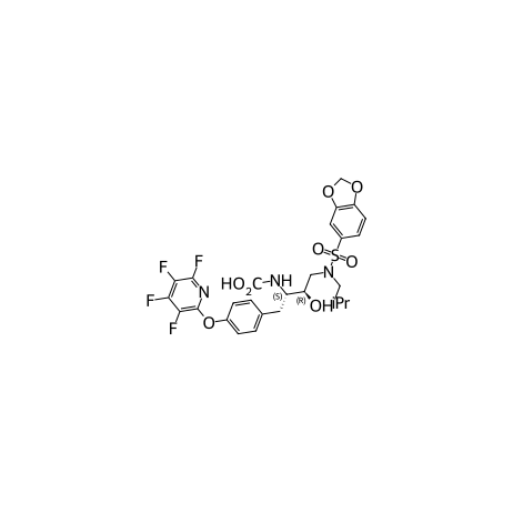 CC(C)CN(C[C@@H](O)[C@H](Cc1ccc(Oc2nc(F)c(F)c(F)c2F)cc1)NC(=O)O)S(=O)(=O)c1ccc2c(c1)OCO2